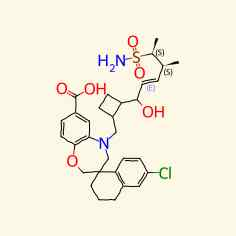 C[C@@H](/C=C/C(O)C1CCC1CN1CC2(CCCc3cc(Cl)ccc32)COc2ccc(C(=O)O)cc21)[C@H](C)S(N)(=O)=O